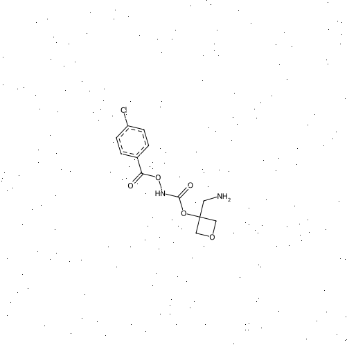 NCC1(OC(=O)NOC(=O)c2ccc(Cl)cc2)COC1